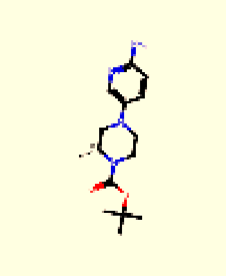 C[C@@H]1CN(c2ccc(N)nc2)CCN1C(=O)OC(C)(C)C